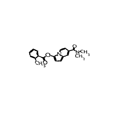 Cc1ccccc1C(=O)Oc1ccc2cc(C(=O)N(C)C)ccn12